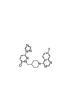 O=c1ccc(-n2cncn2)nn1CC1CCN(c2ncnc3cc(F)ccc23)CC1